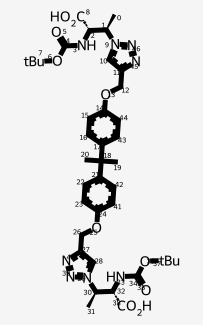 C[C@H]([C@H](NC(=O)OC(C)(C)C)C(=O)O)n1cc(COc2ccc(C(C)(C)c3ccc(OCc4cn([C@H](C)[C@H](NC(=O)OC(C)(C)C)C(=O)O)nn4)cc3)cc2)nn1